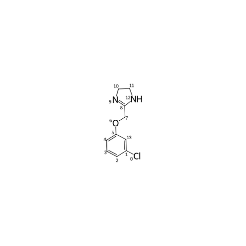 Clc1cccc(OCC2=NCCN2)c1